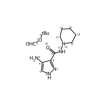 CC(C)(C)OC=O.Nc1c[nH]nc1C(=O)NN1CCCCC1